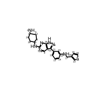 NC1CCC(Nc2ncc3c(-c4cccc(NCc5ccsc5)c4)n[nH]c3n2)CC1